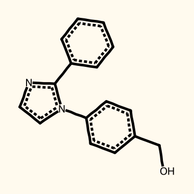 OCc1ccc(-n2ccnc2-c2ccccc2)cc1